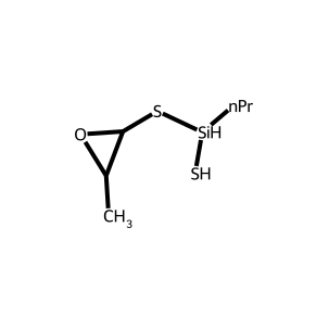 CCC[SiH](S)SC1OC1C